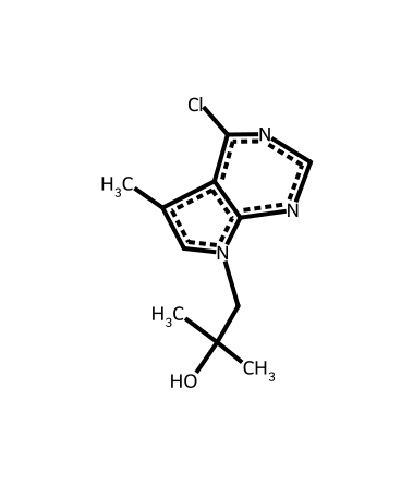 Cc1cn(CC(C)(C)O)c2ncnc(Cl)c12